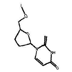 C=C1NC(=O)C=CN1C1CCC(COI)O1